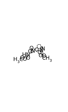 COC(=O)CC(=O)NC[C@H]1CN(c2ccc3c(c2)CCCc2cnn(C(=O)CC(=O)OC)c2-3)C(=O)O1